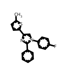 Cc1ccc(-c2cn(-c3ccc(F)cc3)c(-c3ccccc3)n2)s1